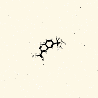 CC(C)(C)C1=CC2N=C(C(N)=O)C=NC2C=C1